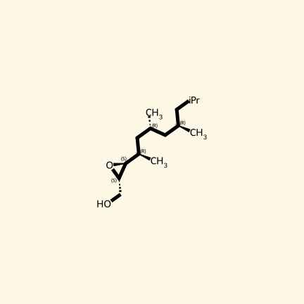 CC(C)C[C@@H](C)C[C@@H](C)C[C@@H](C)[C@@H]1O[C@H]1CO